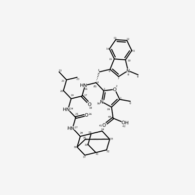 Cc1oc([C@@H](Cc2cn(C)c3ccccc23)NC(=O)C(CC(C)C)NC(=O)NC2C3CC4CC(C3)CC2C4)nc1C(=O)O